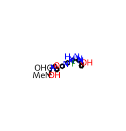 CNC(O)CCC(C=O)N1CCOc2c1cccc2[C@H]1CC[C@H](N2CCC(n3ncc(-c4cc(-c5ccccc5O)nnc4N)c3F)CC2)CC1